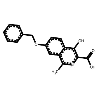 Cc1nc(C(=O)O)c(O)c2ccc(OCc3ccccc3)cc12